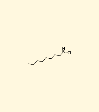 CCCCCCCCBCl